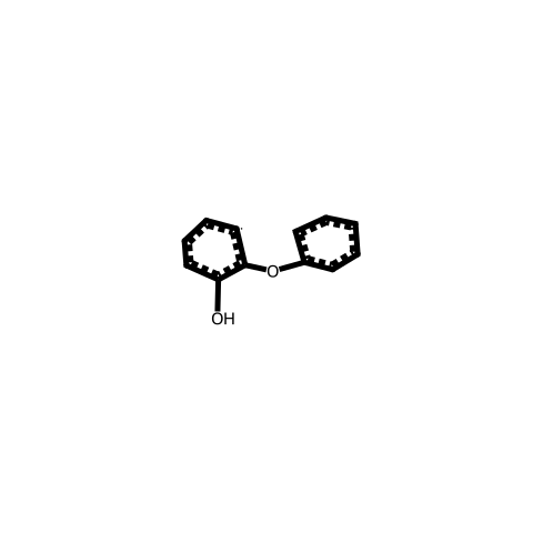 Oc1ccc[c]c1Oc1ccccc1